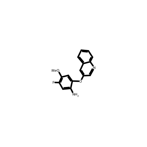 COc1cc(Oc2cnc3ccccc3c2)c(N)cc1F